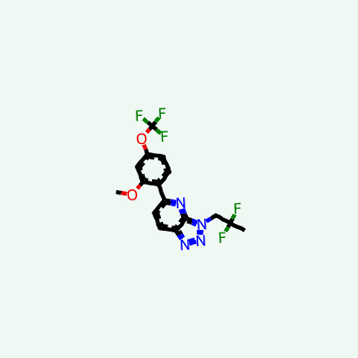 COc1cc(OC(F)(F)F)ccc1-c1ccc2nnn(CC(C)(F)F)c2n1